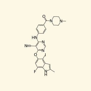 Cc1cc2c(I)c(Oc3ncnc(Nc4ccc(C(=O)N5CCN(C)CC5)cc4)c3C#N)cc(F)c2[nH]1